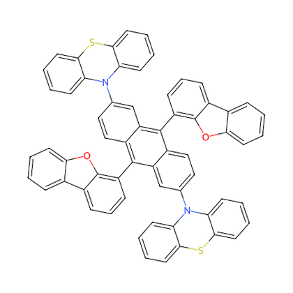 c1ccc2c(c1)Sc1ccccc1N2c1ccc2c(-c3cccc4c3oc3ccccc34)c3cc(N4c5ccccc5Sc5ccccc54)ccc3c(-c3cccc4c3oc3ccccc34)c2c1